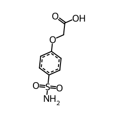 NS(=O)(=O)c1ccc(OCC(=O)O)cc1